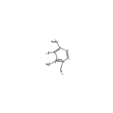 CC(=O)Oc1ccc(F)c(O)c1F